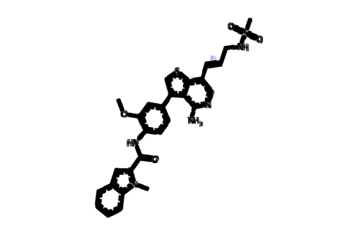 COc1cc(-c2csc3c(/C=C/CNS(C)(=O)=O)cnc(N)c23)ccc1NC(=O)c1cc2ccccc2n1C